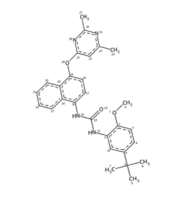 COc1ccc(C(C)(C)C)cc1NC(=O)Nc1ccc(Oc2cc(C)nc(C)n2)c2ccccc12